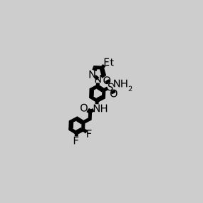 CCc1cnn(-c2ccc(NC(=O)Cc3cccc(F)c3F)cc2S(N)(=O)=O)c1